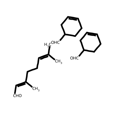 CC(C)=CCC/C(C)=C/C=O.O=CC1CC=CCC1.O=CC1CC=CCC1